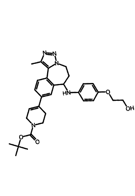 Cc1nnn2c1-c1ccc(C3=CCN(C(=O)OC(C)(C)C)CC3)cc1C(Nc1ccc(OCCO)cc1)CC2